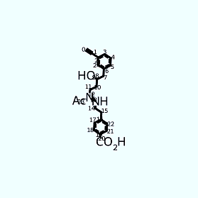 C#Cc1cccc(CC(O)CCN(NCCc2ccc(C(=O)O)cc2)C(C)=O)c1